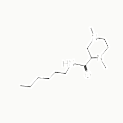 CCCCCCNC(=O)C1CN(C)CCN1C